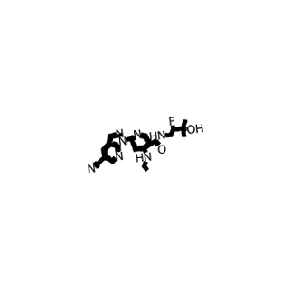 CCNc1cc(-n2ncc3cc(C#N)cnc32)ncc1C(=O)NCC(F)C(C)(C)O